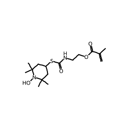 C=C(C)C(=O)OCCNC(=O)SC1CC(C)(C)N(O)C(C)(C)C1